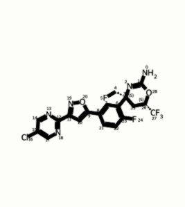 NC1=N[C@](CF)(c2cc(-c3cc(-c4ncc(Cl)cn4)no3)ccc2F)C[C@@H](C(F)(F)F)O1